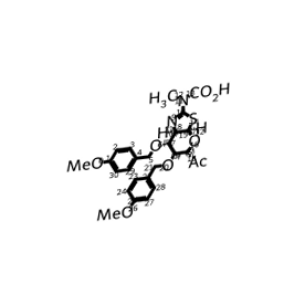 COc1ccc(CO[C@@H]2[C@H]3N=C(N(C)C(=O)O)S[C@H]3O[C@H](C(C)=O)[C@H]2OCc2ccc(OC)cc2)cc1